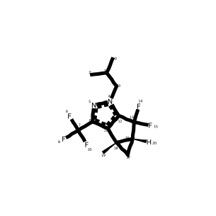 CC(C)Cn1nc(C(F)(F)F)c2c1C(F)(F)[C@@H]1C[C@]21C